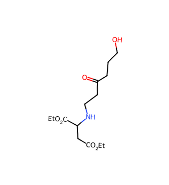 CCOC(=O)CC(NCCC(=O)CCCO)C(=O)OCC